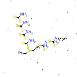 CC(C)CSCC(C)C.NC(=S)[S-].NC(=S)[S-].NC(=S)[S-].NC(=S)[S-].NC(=S)[S-].NC(=S)[S-].[Mo+6]